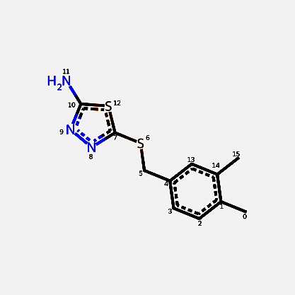 Cc1ccc(CSc2nnc(N)s2)cc1C